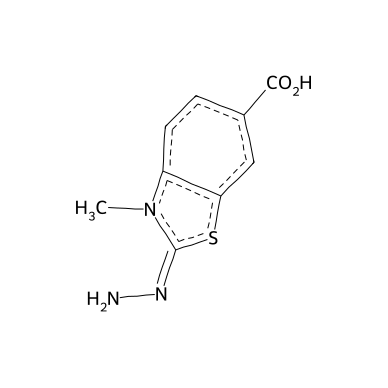 Cn1/c(=N\N)sc2cc(C(=O)O)ccc21